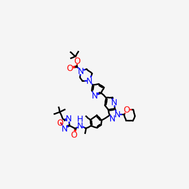 Cc1cc(-c2nn(C3CCCCO3)c3ncc(-c4ccc(N5CCN(C(=O)OC(C)(C)C)CC5)cn4)cc23)ccc1C(C)NC(=O)c1noc(C(C)(C)C)n1